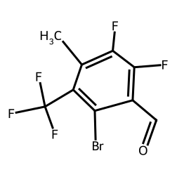 Cc1c(F)c(F)c(C=O)c(Br)c1C(F)(F)F